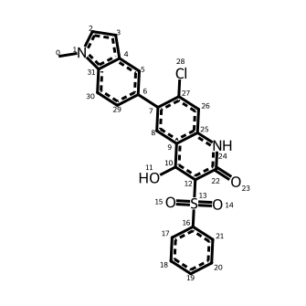 Cn1ccc2cc(-c3cc4c(O)c(S(=O)(=O)c5ccccc5)c(=O)[nH]c4cc3Cl)ccc21